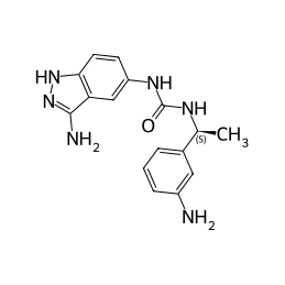 C[C@H](NC(=O)Nc1ccc2[nH]nc(N)c2c1)c1cccc(N)c1